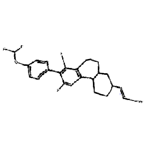 CCC/C=C/C1CCC2c3cc(F)c(-c4ccc(OC(F)F)cc4)c(F)c3CCC2C1